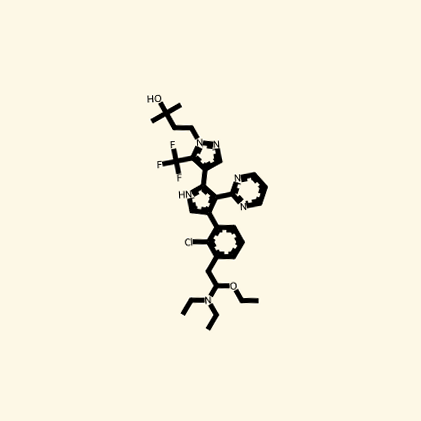 CCOC(Cc1cccc(-c2c[nH]c(-c3cnn(CCC(C)(C)O)c3C(F)(F)F)c2-c2ncccn2)c1Cl)N(CC)CC